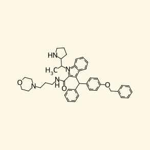 CC(C1CCCN1)n1c(C(=O)NCCCN2CCOCC2)c(C(c2ccccc2)c2ccc(OCc3ccccc3)cc2)c2ccccc21